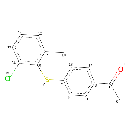 CC(=O)c1ccc(Sc2c(C)cccc2Cl)cc1